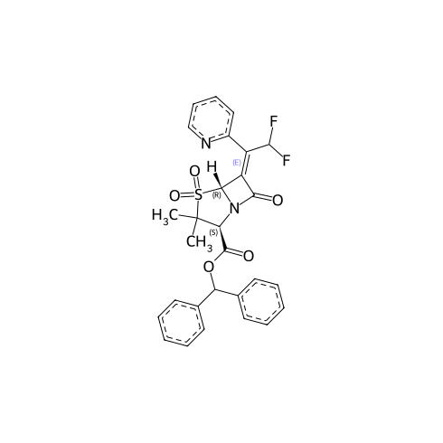 CC1(C)[C@H](C(=O)OC(c2ccccc2)c2ccccc2)N2C(=O)/C(=C(/c3ccccn3)C(F)F)[C@H]2S1(=O)=O